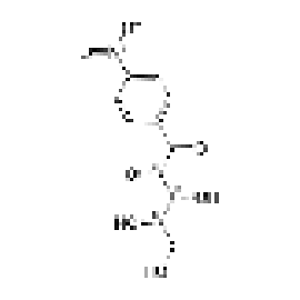 O=C(c1ccc([N+](=O)[O-])cc1)[C@@H](O)[C@H](O)[C@H](O)CO